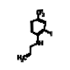 C=CCNc1ccc(C(F)(F)F)cc1I